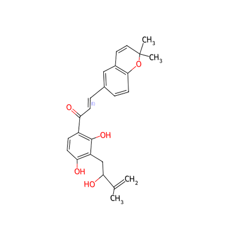 C=C(C)C(O)Cc1c(O)ccc(C(=O)/C=C/c2ccc3c(c2)C=CC(C)(C)O3)c1O